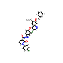 COc1cc2c(Oc3ccc(NC(=O)c4cccn(-c5ccc(F)cc5)c4=O)cc3F)ccnc2cc1OCc1ccccc1